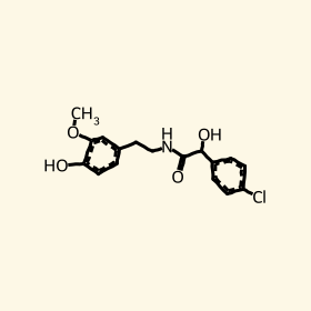 COc1cc(CCNC(=O)C(O)c2ccc(Cl)cc2)ccc1O